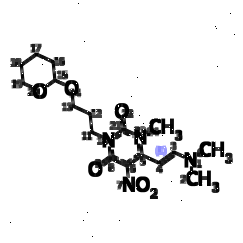 CN(C)/C=C/c1c([N+](=O)[O-])c(=O)n(CCCOC2CCCCO2)c(=O)n1C